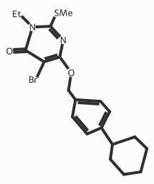 CCn1c(SC)nc(OCc2ccc(C3CCCCC3)cc2)c(Br)c1=O